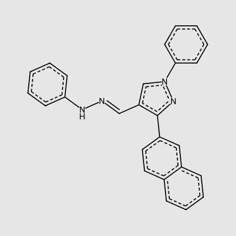 C(=N\Nc1ccccc1)/c1cn(-c2ccccc2)nc1-c1ccc2ccccc2c1